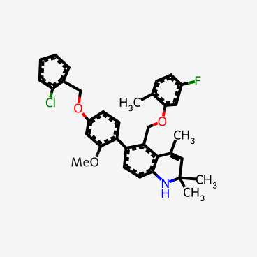 COc1cc(OCc2ccccc2Cl)ccc1-c1ccc2c(c1COc1cc(F)ccc1C)C(C)=CC(C)(C)N2